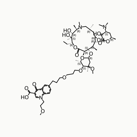 CC[C@H]1OC(=O)[C@H](C)[C@@H](O[C@H]2C[C@@](C)(OC)[C@@H](OCCCOCCCc3ccc4c(c3)c(=O)c(C(=O)O)cn4CCOC)[C@H](C)O2)[C@H](C)[C@@H](O[C@@H]2O[C@H](C)C[C@H](N(C)C)[C@H]2O)[C@](C)(O)C[C@@H](C)CN(C)[C@H](C)[C@@H](O)[C@]1(C)O